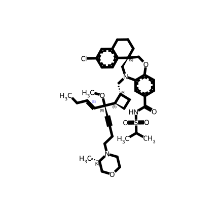 CC/C=C/[C@](C#CCCN1CCOC[C@@H]1C)(OC)[C@@H]1CC[C@H]1CN1C[C@@]2(CCCc3cc(Cl)ccc32)COc2ccc(C(=O)NS(=O)(=O)C(C)C)cc21